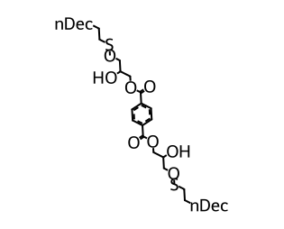 CCCCCCCCCCCCSOCC(O)COC(=O)c1ccc(C(=O)OCC(O)COSCCCCCCCCCCCC)cc1